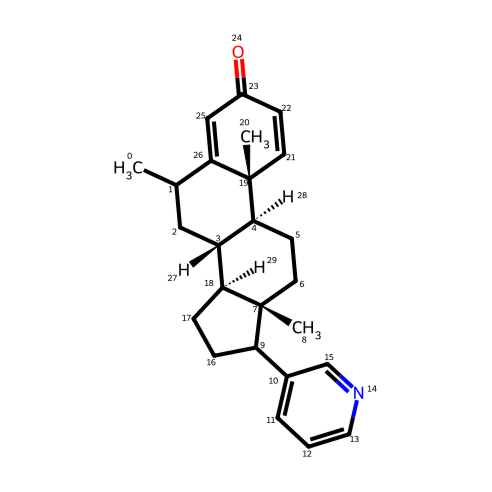 CC1C[C@@H]2[C@H](CC[C@]3(C)C(c4cccnc4)CC[C@@H]23)[C@@]2(C)C=CC(=O)C=C12